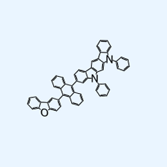 c1ccc(-n2c3ccccc3c3cc4c5ccc(-c6c7ccccc7c(-c7ccc8oc9ccccc9c8c7)c7ccccc67)cc5n(-c5ccccc5)c4cc32)cc1